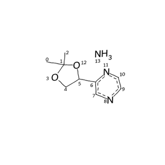 CC1(C)OCC(c2cnccn2)O1.N